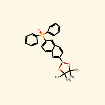 CC1(C)OB(c2ccc3cc(P(=O)(c4ccccc4)c4ccccc4)ccc3c2)OC1(C)C